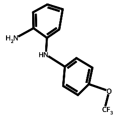 Nc1ccccc1Nc1ccc(OC(F)(F)F)cc1